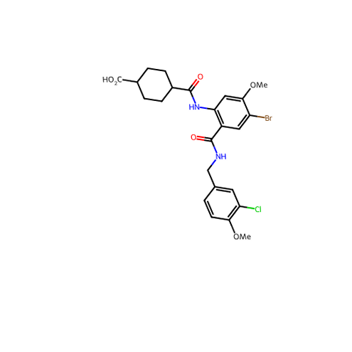 COc1ccc(CNC(=O)c2cc(Br)c(OC)cc2NC(=O)C2CCC(C(=O)O)CC2)cc1Cl